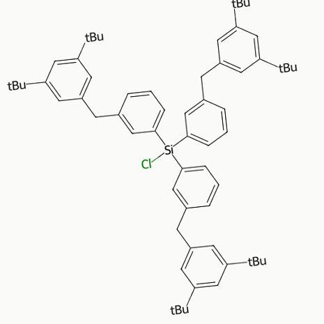 CC(C)(C)c1cc(Cc2cccc([Si](Cl)(c3cccc(Cc4cc(C(C)(C)C)cc(C(C)(C)C)c4)c3)c3cccc(Cc4cc(C(C)(C)C)cc(C(C)(C)C)c4)c3)c2)cc(C(C)(C)C)c1